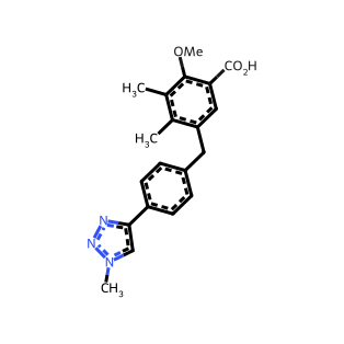 COc1c(C(=O)O)cc(Cc2ccc(-c3cn(C)nn3)cc2)c(C)c1C